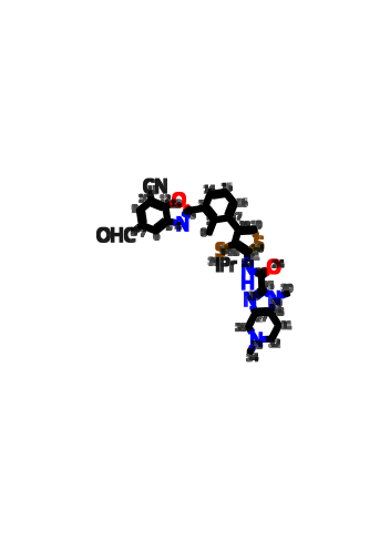 Cc1c(-c2nc3cc(C=O)cc(C#N)c3o2)cccc1-c1csc(NC(=O)c2nc3c(n2C)CCN(C)C3)c1SC(C)C